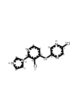 Clc1cnc(Sc2ccnc(-n3ccnc3)c2Cl)cn1